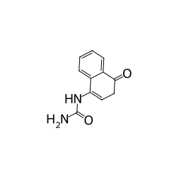 NC(=O)NC1=CCC(=O)c2ccccc21